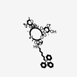 CC[C@H]1OC(=O)[C@H](C)[C@@H](O[C@H]2C[C@@](C)(OC)[C@@H](O)[C@H](C)O2)[C@H](C)[C@@H](O[C@@H]2O[C@H](C)C[C@H](N(C)C)[C@H]2O)[C@](C)(O)C[C@@H](C)CN(C)[C@H](C)[C@@H](OC(=O)NCCCCCC[PH](c2ccccc2)(c2ccccc2)c2ccccc2)[C@]1(C)O